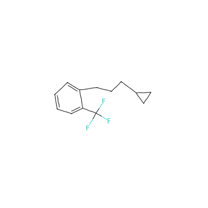 FC(F)(F)c1ccccc1CCCC1CC1